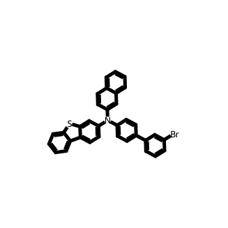 Brc1cccc(-c2ccc(N(c3ccc4ccccc4c3)c3ccc4c(c3)sc3ccccc34)cc2)c1